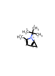 Cc1cc2c(n1C(C)(C)C)C2